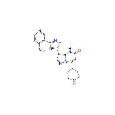 O=c1cc(C2CCNCC2)n2ncc(-c3nc(-c4cnccc4C(F)(F)F)no3)c2[nH]1